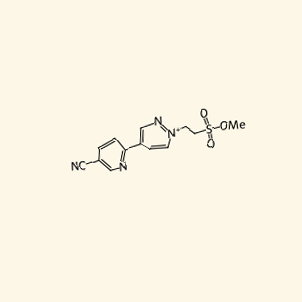 COS(=O)(=O)CC[n+]1ccc(-c2ccc(C#N)cn2)cn1